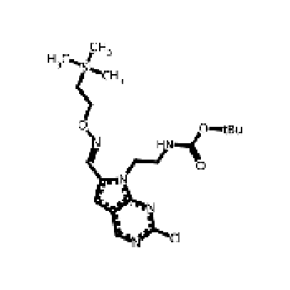 CC(C)(C)OC(=O)NCCn1c(/C=N/OCC[Si](C)(C)C)cc2cnc(Cl)nc21